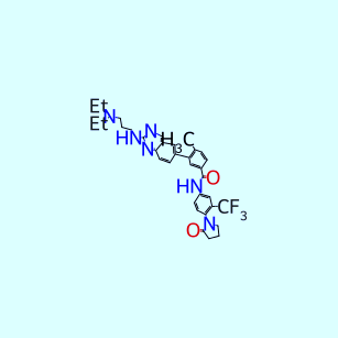 CCN(CC)CCCNc1ncc2cc(-c3cc(C(=O)Nc4ccc(N5CCCC5=O)c(C(F)(F)F)c4)ccc3C)ccc2n1